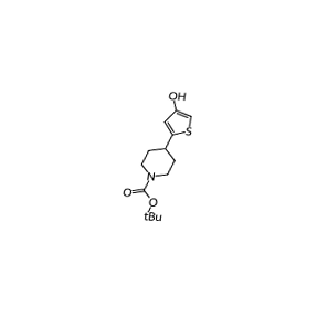 CC(C)(C)OC(=O)N1CCC(c2cc(O)cs2)CC1